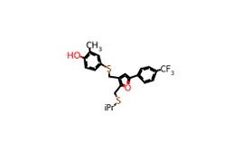 Cc1cc(SCc2cc(-c3ccc(C(F)(F)F)cc3)oc2CSC(C)C)ccc1O